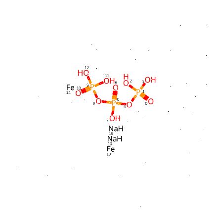 O=P(O)(O)OP(=O)(O)OP(=O)(O)O.[Fe].[Fe].[NaH].[NaH]